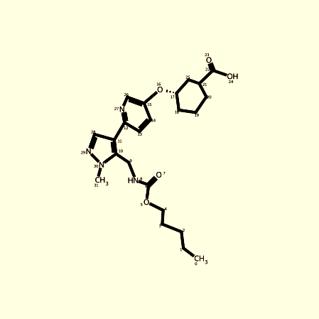 CCCCCOC(=O)NCc1c(-c2ccc(O[C@H]3CCCC(C(=O)O)C3)cn2)cnn1C